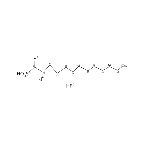 F.O=S(=O)(O)C(F)C(F)CCCCCCCCCCF